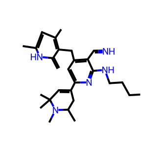 C=C1NC(C)=CC(C)=C1Cc1cc(C2=CC(C)(C)N(C)C(C)C2)nc(NCCCC)c1C=N